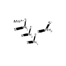 S=[PH2][S-].S=[PH2][S-].S=[PH2][S-].S=[PH2][S-].[Mo+4]